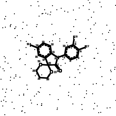 O=C1N(c2ccc(F)c(F)c2)c2ccc(I)cc2C12OCCCO2